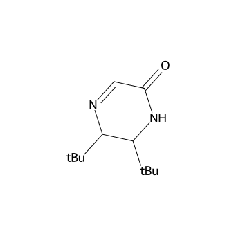 CC(C)(C)C1N=CC(=O)NC1C(C)(C)C